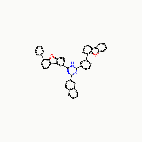 c1c(C2=NC(c3ccc4ccccc4c3)=NC(c3cccc(-c4cccc5c4oc4ccccc45)c3)N2)cc2c(c#1)oc1c(-c3ccccc3)cccc12